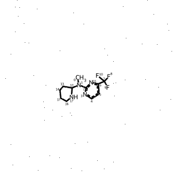 CN(c1nccc(C(F)(F)F)n1)C1CCCCN1